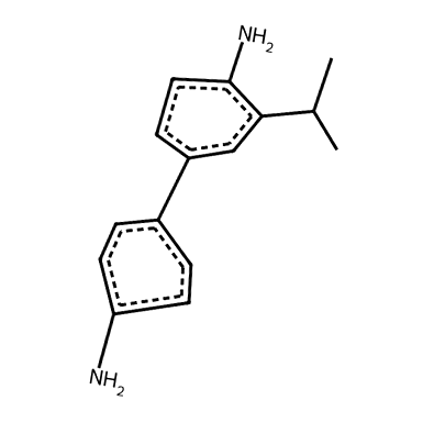 CC(C)c1cc(-c2ccc(N)cc2)ccc1N